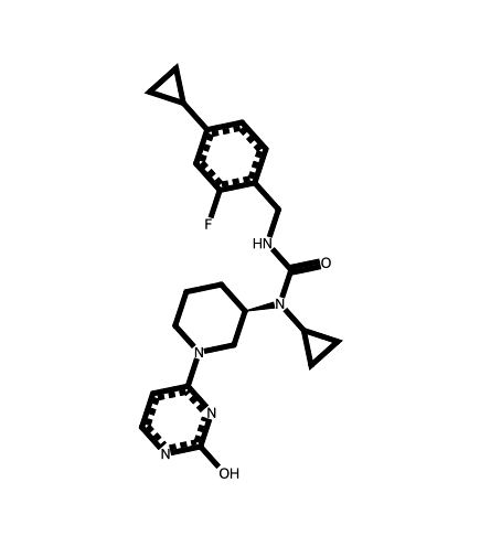 O=C(NCc1ccc(C2CC2)cc1F)N(C1CC1)[C@@H]1CCCN(c2ccnc(O)n2)C1